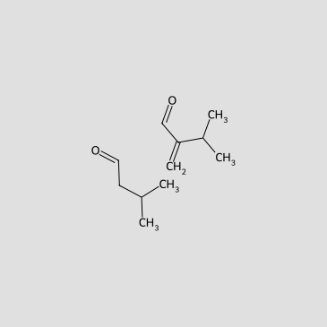 C=C(C=O)C(C)C.CC(C)CC=O